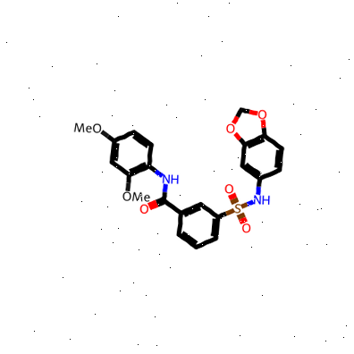 COc1ccc(NC(=O)c2cccc(S(=O)(=O)Nc3ccc4c(c3)OCO4)c2)c(OC)c1